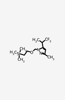 Cc1cc(C(C)C(F)(F)F)n(COCC[Si](C)(C)C)n1